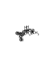 CN(C)C(=O)c1ccc(NC(=O)Nc2ccc(-c3nc(N4CCOCC4)c4ccc(-c5ccco5)cc4n3)c(F)c2)cc1